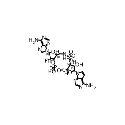 Nc1ncnc2c1ccn2[C@@H]1O[C@@H]2COP(=O)(O)O[C@H]3[C@@H](F)[C@H](n4cnc5c(N)ncnc54)O[C@@H]3CNS(=O)(=O)O[C@H]2[C@H]1O